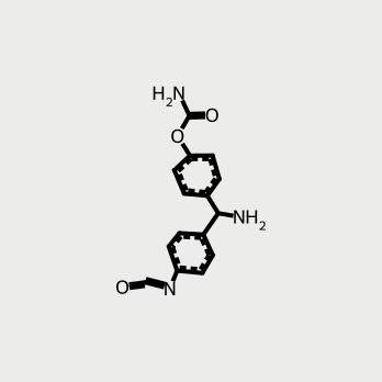 NC(=O)Oc1ccc(C(N)c2ccc(N=C=O)cc2)cc1